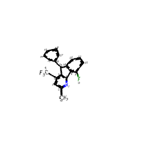 Cc1cc(C(F)(F)F)c2c(n1)-c1c(F)cccc1C2c1ccccc1